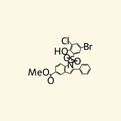 COC(=O)c1ccc2c(c1)cc(-c1ccccc1)n2S(=O)(=O)c1cc(Br)cc(Cl)c1O